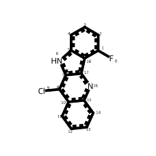 Fc1cccc2[nH]c3c(Cl)c4ccccc4nc3c12